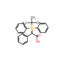 CC(C)(C)P(=C(C(=O)O)c1ccccc1)(c1ccccc1)c1ccccc1